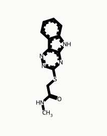 CNC(=O)CSc1nnc2c(n1)[nH]c1ccccc12